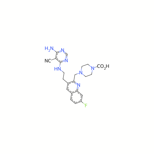 N#Cc1c(N)ncnc1NCCc1cc2ccc(F)cc2nc1CN1CCN(C(=O)O)CC1